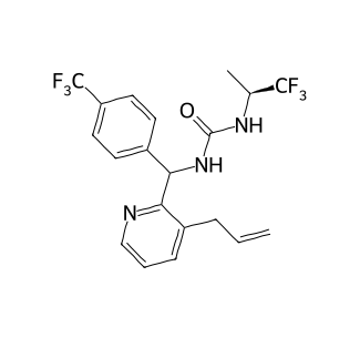 C=CCc1cccnc1C(NC(=O)N[C@@H](C)C(F)(F)F)c1ccc(C(F)(F)F)cc1